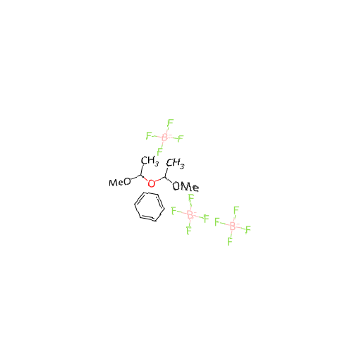 COC(C)OC(C)OC.F[B-](F)(F)F.F[B-](F)(F)F.F[B-](F)(F)F.c1ccccc1